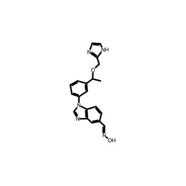 CC(OCc1ncc[nH]1)c1cccc(-n2cnc3cc(C=NO)ccc32)c1